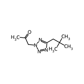 CC(=O)Cn1nnc(CC(C)(C)C)n1